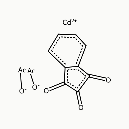 CC(=O)[O-].CC(=O)[O-].O=c1c(=O)c2ccccc2c1=O.[Cd+2]